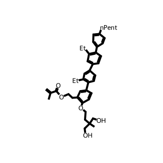 C=C(C)C(=O)OCCc1cc(-c2ccc(-c3ccc(-c4ccc(CCCCC)cc4)c(CC)c3)cc2CC)ccc1OCCC(C)(CO)CO